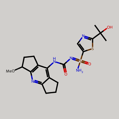 COC1CCc2c1nc1c(c2NC(=O)N=S(N)(=O)c2cnc(C(C)(C)O)s2)CCC1